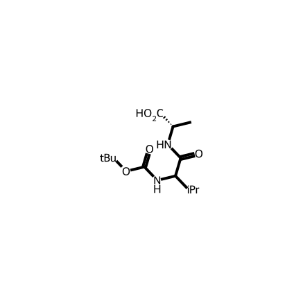 CC(C)C(NC(=O)OC(C)(C)C)C(=O)N[C@@H](C)C(=O)O